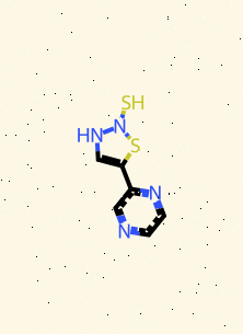 SN1NC=C(c2cnccn2)S1